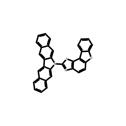 c1ccc2cc3c(cc2c1)c1cc2ccccc2cc1n3-c1nc2ccc3oc4ccccc4c3c2s1